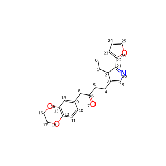 CCC1C(CCC(=O)Cc2ccc3c(c2)OCCO3)=CN=C1c1ccco1